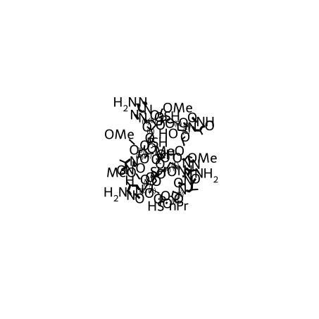 CCC[C@H]1O[C@@H](n2cc(C)c(=O)[nH]c2=O)CC1OP(=O)(S)OC[C@H]1O[C@@H](n2cc(C)c(N)nc2=O)[C@@H](OCCOC)C1OP(=O)(S)OC[C@H]1O[C@@H](n2cnc3c(N)ncnc32)[C@@H](OCCOC)C1OP(=O)(O)OC[C@H]1O[C@@H](n2cc(C)c(=O)[nH]c2=O)[C@@H](OCCOC)C1OP(=O)(S)OC[C@H]1O[C@@H](n2cnc3c(N)ncnc32)[C@@H](OCCOC)C1OP(=O)(S)OC[C@H]1O[C@@H](n2cc(C)c(=O)[nH]c2=O)[C@@H](OCCOC)C1O